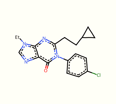 CCn1cnc2c(=O)n(-c3ccc(Cl)cc3)c(CCC3CC3)nc21